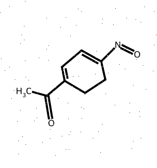 CC(=O)C1=CC=C(N=O)CC1